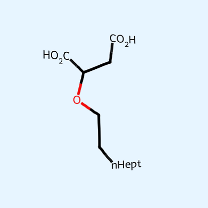 CCCCCCCCCOC(CC(=O)O)C(=O)O